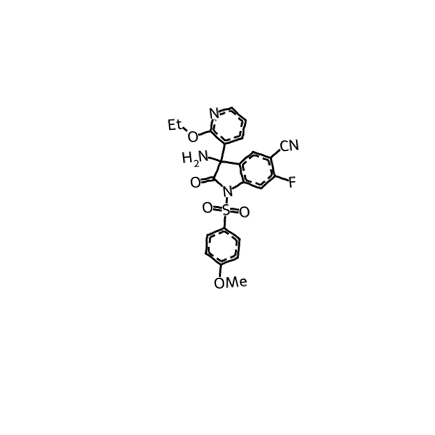 CCOc1ncccc1C1(N)C(=O)N(S(=O)(=O)c2ccc(OC)cc2)c2cc(F)c(C#N)cc21